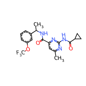 Cc1cc(C(=O)NC(C)c2cccc(OC(F)(F)F)c2)nc(NC(=O)C2CC2)n1